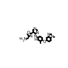 Cc1cc(Nc2ncncc2-c2nc(CN)co2)ccc1Oc1ccc2c(c1)ncn2C